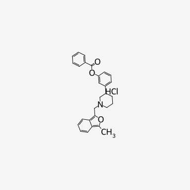 Cc1oc(CN2CCCC(c3cccc(OC(=O)c4ccccc4)c3)C2)c2ccccc12.Cl